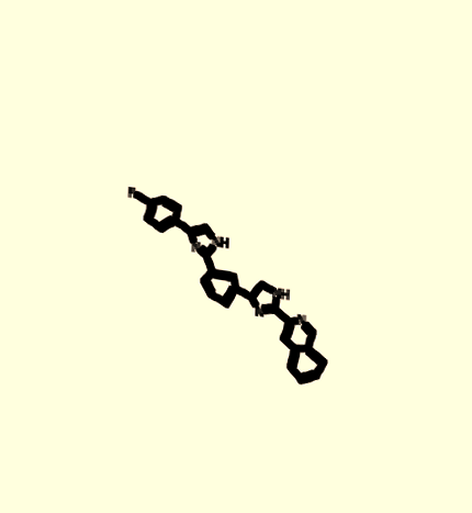 Fc1ccc(-c2c[nH]c(-c3cccc(C4CNC(c5cc6ccccc6cn5)=N4)c3)n2)cc1